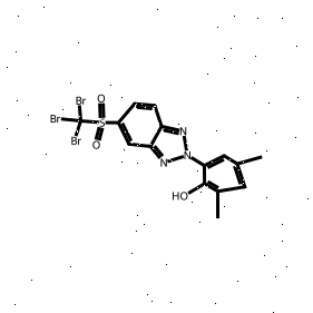 Cc1cc(C)c(O)c(-n2nc3ccc(S(=O)(=O)C(Br)(Br)Br)cc3n2)c1